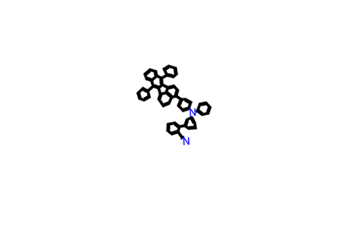 N#Cc1ccccc1-c1cccc(N(c2ccccc2)c2ccc(-c3ccc4c5c(cccc35)-c3c-4c(-c4ccccc4)c4ccccc4c3-c3ccccc3)cc2)c1